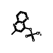 Cc1cc(OS(=O)(=O)C(F)(F)F)c2ncccc2n1